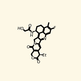 CC[C@H]1C(=O)OCc2c1cc1n(c2=O)Cc2c-1nc1cc(F)c(C)c3c1c2[C@@H](NC(=O)CO)CC3